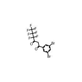 O=C(CC(=O)C(F)(F)C(F)(F)C(F)(F)F)c1cc(Br)cc(Br)c1